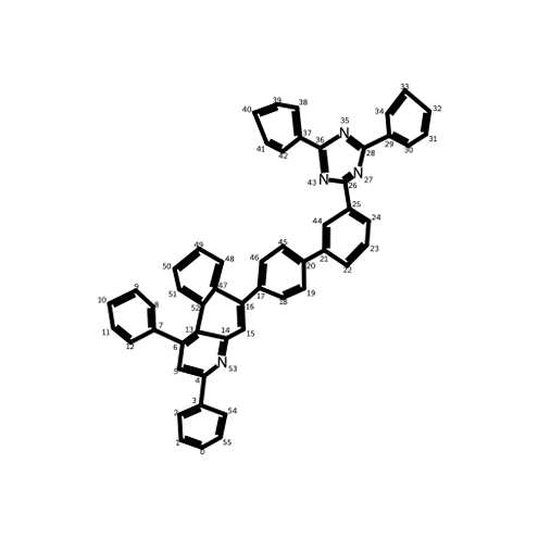 c1ccc(-c2cc(-c3ccccc3)c3c(cc(-c4ccc(-c5cccc(-c6nc(-c7ccccc7)nc(-c7ccccc7)n6)c5)cc4)c4ccccc43)n2)cc1